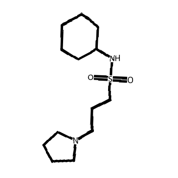 O=S(=O)(CCCN1CCCC1)NC1C[CH]CCC1